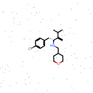 C=C(C(C)C)[C@@H](Cc1ccc(Cl)cc1)NCC1CCOCC1